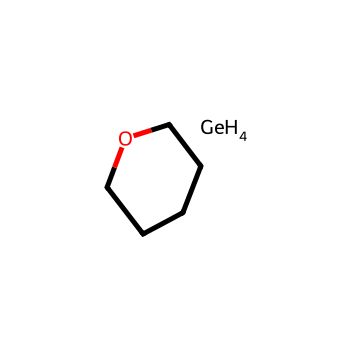 C1CCOCC1.[GeH4]